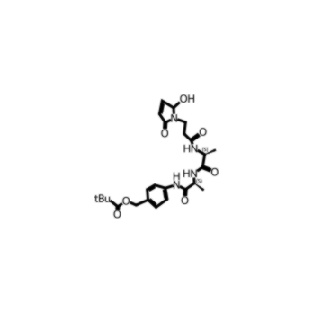 C[C@H](NC(=O)CCN1C(=O)C=CC1O)C(=O)N[C@@H](C)C(=O)Nc1ccc(COC(=O)C(C)(C)C)cc1